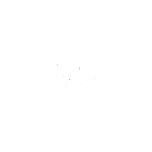 CCC(CO)(CO)NC(C)=O